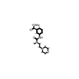 COC(=O)c1cccc(NC(=O)N(C)CCN2CCOCC2)c1